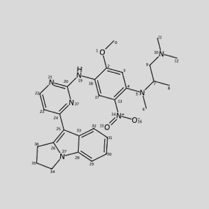 COc1cc(N(C)C(C)CN(C)C)c([N+](=O)[O-])cc1Nc1nccc(-c2c3n(c4ccccc24)CCC3)n1